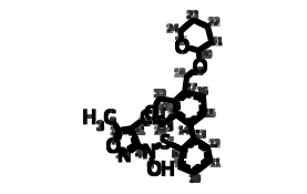 Cc1onc(N(O)Sc2ccccc2-c2ccc(COC3CCCCO3)c3c2COC3)c1C